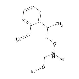 C=Cc1ccccc1C(C)CO[SiH](CC)COCC